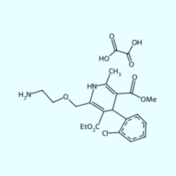 CCOC(=O)C1=C(COCCN)NC(C)=C(C(=O)OC)C1c1ccccc1Cl.O=C(O)C(=O)O